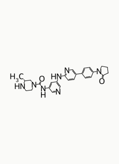 CC1CN(C(=O)Nc2cncc(Nc3ccc(-c4ccc(N5CCCC5=O)cc4)cn3)c2)CCN1